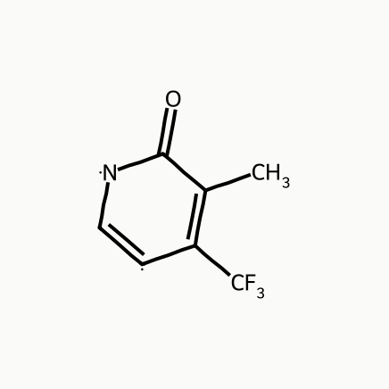 CC1=C(C(F)(F)F)[C]=C[N]C1=O